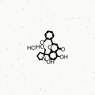 CN1CCCC1(CO)c1c(O)cc(O)c2c(=O)cc(-c3ccccc3Cl)oc12.Cl